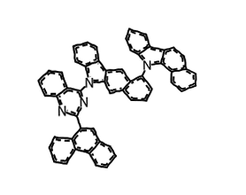 c1cc(-n2c3ccccc3c3ccc4ccccc4c32)c2cc3c4ccccc4n(-c4nc(-c5cc6ccccc6c6ccccc56)nc5ccccc45)c3cc2c1